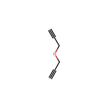 [C]#CCOCC#C